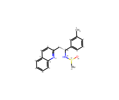 Cc1cccc([C@@H](Cc2ccc3ccccc3n2)N[S+]([O-])C(C)(C)C)c1